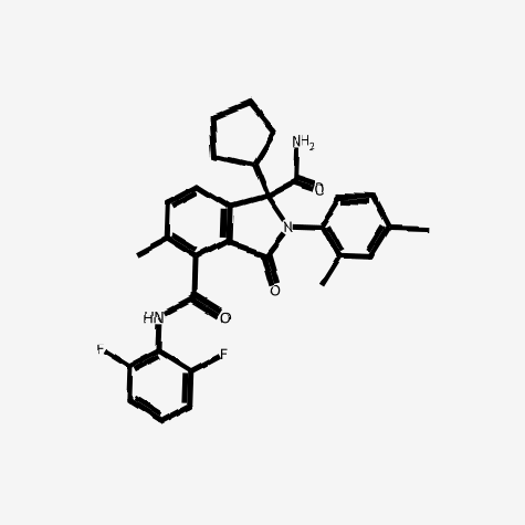 Cc1ccc(N2C(=O)c3c(ccc(C)c3C(=O)Nc3c(F)cccc3F)C2(C(N)=O)C2CCCC2)c(C)c1